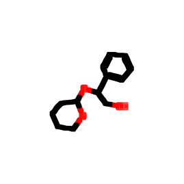 OCC(OC1CCCCO1)c1ccccc1